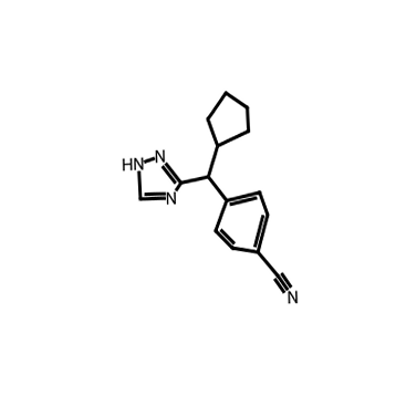 N#Cc1ccc(C(c2nc[nH]n2)C2CCCC2)cc1